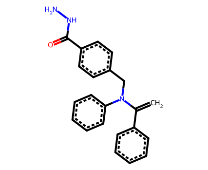 C=C(c1ccccc1)N(Cc1ccc(C(=O)NN)cc1)c1ccccc1